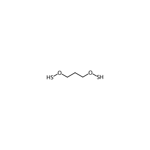 SOCCCOS